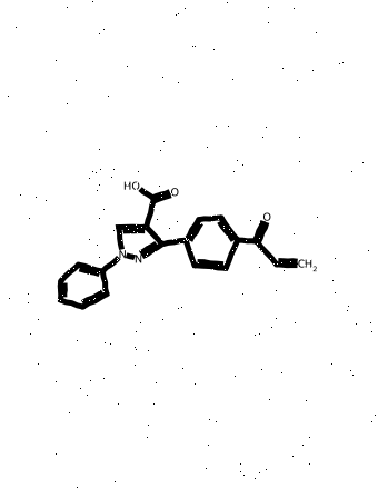 C=CC(=O)c1ccc(-c2nn(-c3ccccc3)cc2C(=O)O)cc1